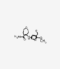 COc1ncc(NC2=C(C(N)=O)CCOCC2)cc1CF